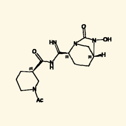 CC(=O)N1CCC[C@@H](C(=O)NC(=N)[C@@H]2CC[C@@H]3CN2C(=O)N3O)C1